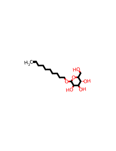 C=CCCCCCCCCOC1OC(CO)[C@H](O)C(O)C1O